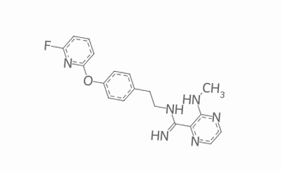 CNc1nccnc1C(=N)NCCc1ccc(Oc2cccc(F)n2)cc1